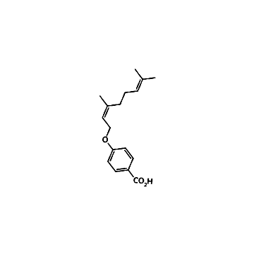 CC(C)=CCC/C(C)=C\COc1ccc(C(=O)O)cc1